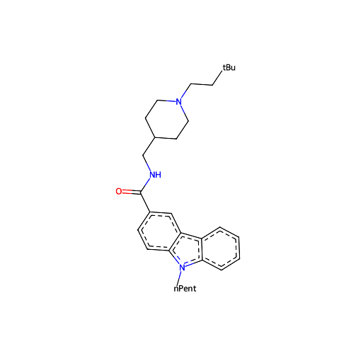 CCCCCn1c2ccccc2c2cc(C(=O)NCC3CCN(CCC(C)(C)C)CC3)ccc21